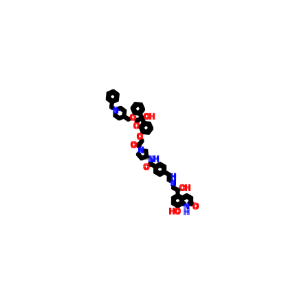 O=C(N[C@@H]1CCN(C(=O)COc2cccc(C(O)(C(=O)OCC3CCN(Cc4ccccc4)CC3)c3ccccc3)c2)C1)c1ccc(CCNC[C@H](O)c2ccc(O)c3[nH]c(=O)ccc23)cc1